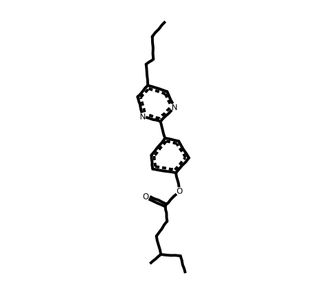 CCCCc1cnc(-c2ccc(OC(=O)CCC(C)CC)cc2)nc1